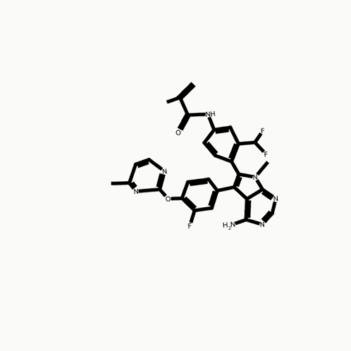 C=C(C)C(=O)Nc1ccc(-c2c(-c3ccc(Oc4nccc(C)n4)c(F)c3)c3c(N)ncnc3n2C)c(C(F)F)c1